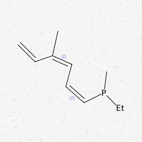 C=C/C(C)=C\C=C/P(C)CC